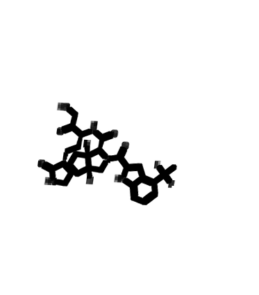 CC(F)(F)c1cccc2[nH]c(C(=O)N3C[C@@H]4CCC[C@@H]4[C@H]3C(=O)N[C@@H](CC[C@@H]3CCNC3=O)C(=O)CO)cc12